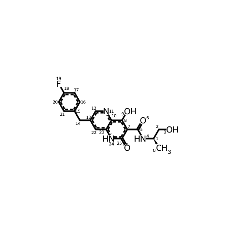 C[C@H](CO)NC(=O)c1c(O)c2ncc(Cc3ccc(F)cc3)cc2[nH]c1=O